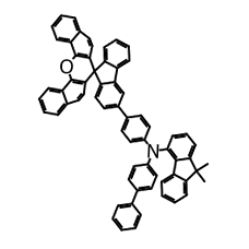 CC1(C)c2ccccc2-c2c(N(c3ccc(-c4ccccc4)cc3)c3ccc(-c4ccc5c(c4)-c4ccccc4C54c5ccc6ccccc6c5Oc5c4ccc4ccccc54)cc3)cccc21